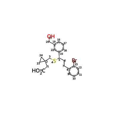 O=C(O)CC1(CSC(CCc2ccccc2Br)c2cccc(CO)c2)CC1